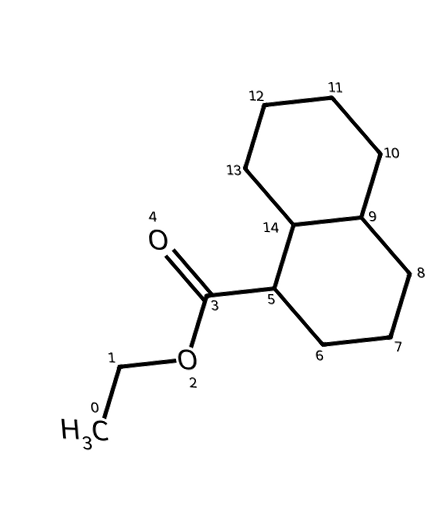 CCOC(=O)C1CCCC2CCCCC21